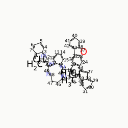 C=C(/C=c1/ccccc1=C)C1=c2\cccc\c2=C(C(=C)c2cc3c(cc2C2=Cc4ccccc4C2(C)C)oc2ccccc23)\C=C\CC\C=C\1